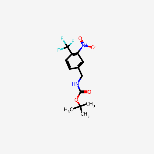 CC(C)(C)OC(=O)NCc1ccc(C(F)(F)F)c([N+](=O)[O-])c1